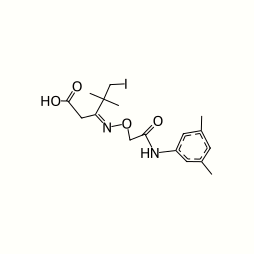 Cc1cc(C)cc(NC(=O)CON=C(CC(=O)O)C(C)(C)CI)c1